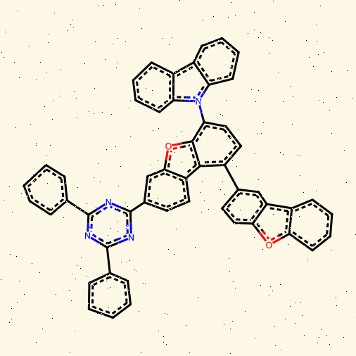 c1ccc(-c2nc(-c3ccccc3)nc(-c3ccc4c(c3)oc3c(-n5c6ccccc6c6ccccc65)ccc(-c5ccc6oc7ccccc7c6c5)c34)n2)cc1